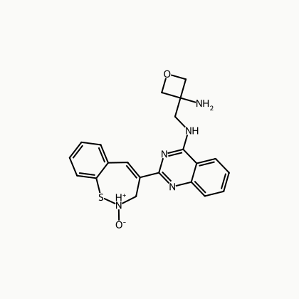 NC1(CNc2nc(C3=Cc4ccccc4S[NH+]([O-])C3)nc3ccccc23)COC1